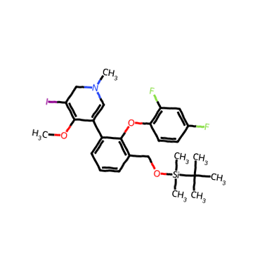 COC1=C(I)CN(C)C=C1c1cccc(CO[Si](C)(C)C(C)(C)C)c1Oc1ccc(F)cc1F